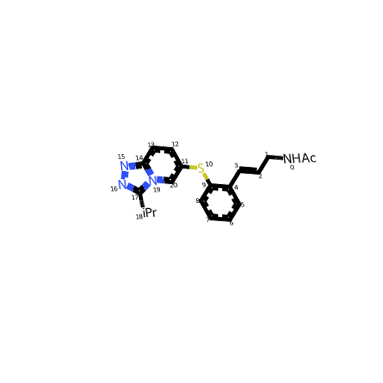 CC(=O)NCC=Cc1ccccc1Sc1ccc2nnc(C(C)C)n2c1